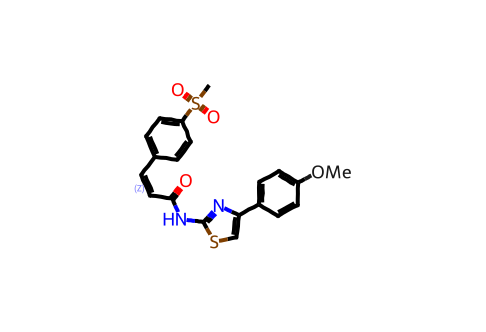 COc1ccc(-c2csc(NC(=O)/C=C\c3ccc(S(C)(=O)=O)cc3)n2)cc1